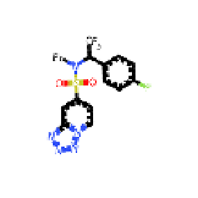 CCN(C(c1ccc(F)cc1)C(F)(F)F)S(=O)(=O)c1ccn2nnnc2c1